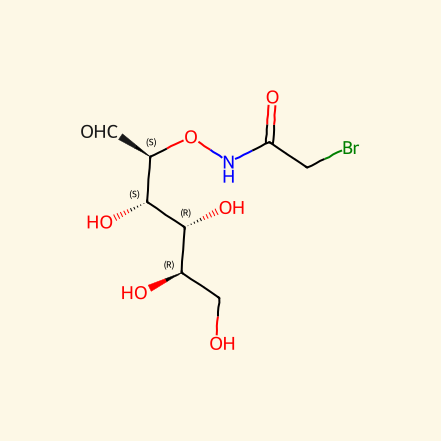 O=C[C@@H](ONC(=O)CBr)[C@@H](O)[C@H](O)[C@H](O)CO